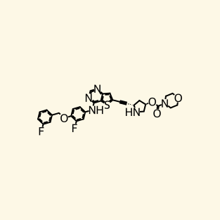 O=C(O[C@H]1CN[C@H](C#Cc2cc3ncnc(Nc4ccc(OCc5cccc(F)c5)c(F)c4)c3s2)C1)N1CCOCC1